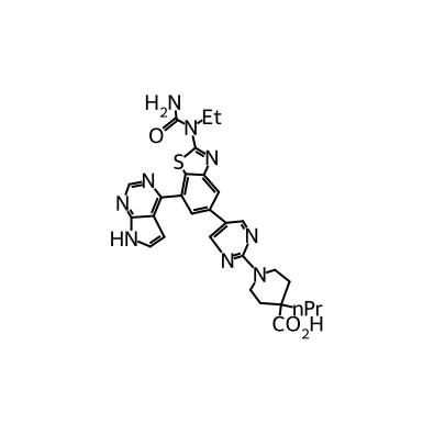 CCCC1(C(=O)O)CCN(c2ncc(-c3cc(-c4ncnc5[nH]ccc45)c4sc(N(CC)C(N)=O)nc4c3)cn2)CC1